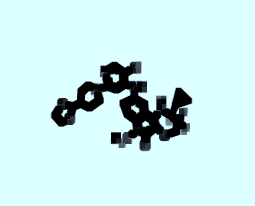 Cn1c(=O)c2c(c3cc(Nc4cc(N5CCC(C6OCCO6)CC5)ncc4Cl)ccc31)N[C@@H](C1CC1)C(F)(F)CO2